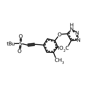 Cc1cc(C#CS(=O)(=O)C(C)(C)C)cc(Oc2[nH]nnc2C(=O)O)c1